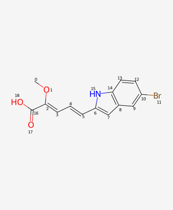 CO/C(=C\C=C\c1cc2cc(Br)ccc2[nH]1)C(=O)O